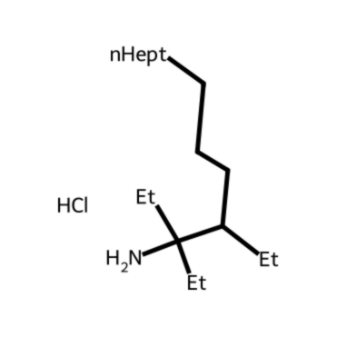 CCCCCCCCCCC(CC)C(N)(CC)CC.Cl